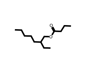 CCCCCC(CC)COC(=O)CCC